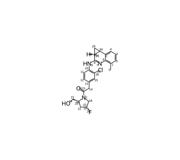 Cc1cccc2c1N=C(Nc1ccc(CC(=O)N3C[C@@H](F)C[C@H]3CO)cc1Cl)[C@@H]1CC21